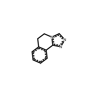 [c]1ccc2c(c1)-c1nncn1CC2